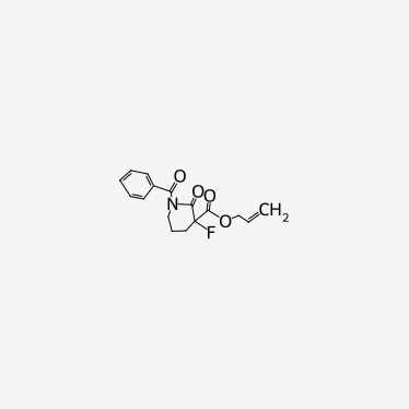 C=CCOC(=O)C1(F)CCCN(C(=O)c2ccccc2)C1=O